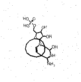 NC1NC(O)C23CCCCCCCCCC1(C=CN2C1OC(COP(=O)(O)O)C(O)C1O)C3